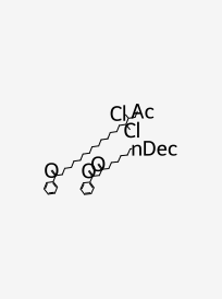 CC(=O)CC(Cl)C(Cl)CCCCCCCCCCCCCCC(=O)c1ccccc1.CCCCCCCCCCCCCCCCC(=O)CC(=O)c1ccccc1